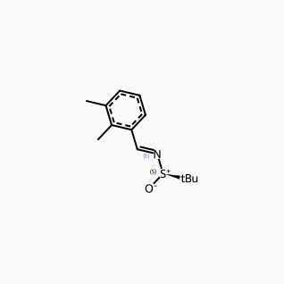 Cc1cccc(/C=N/[S@+]([O-])C(C)(C)C)c1C